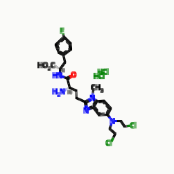 Cl.Cl.Cn1c(CC[C@H](N)C(=O)N[C@@H](Cc2ccc(F)cc2)C(=O)O)nc2cc(N(CCCl)CCCl)ccc21